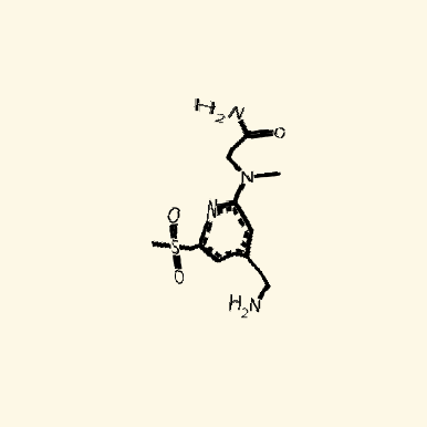 CN(CC(N)=O)c1cc(CN)cc(S(C)(=O)=O)n1